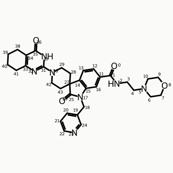 O=C(NCCN1CCOCC1)c1ccc2c(c1)N(Cc1cccnc1)C(=O)C21CCN(c2nc3c(c(=O)[nH]2)CCCC3)CC1